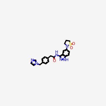 O=C(Cc1ccc(Cn2ccnc2)cc1)Nc1n[nH]c2ccc(N3CCCS3(=O)=O)cc12